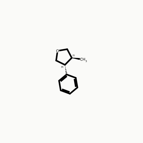 C[C@@H]1COC[C@H]1c1ccccc1